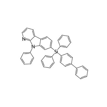 c1ccc(-c2ccc([Si](c3ccccc3)(c3ccccc3)c3ccc4c5cccnc5n(-c5ccccc5)c4c3)cc2)cc1